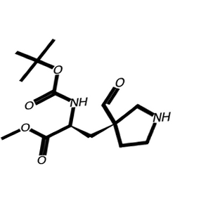 COC(=O)[C@H](C[C@]1(C=O)CCNC1)NC(=O)OC(C)(C)C